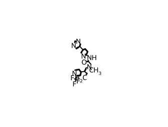 C=C/C(=C\N(C)CC(=O)Nc1ccc(-c2cncnc2)cn1)c1ccnc(C(F)(F)F)c1